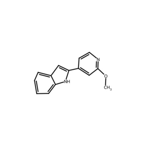 COc1cc(-c2cc3ccccc3[nH]2)ccn1